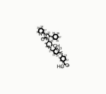 Cc1nc(Sc2ccc(C(=O)O)cc2)ccc1CN1CCC(N2C(=O)N(c3ccccn3)C[C@H]2c2ccccc2)CC1